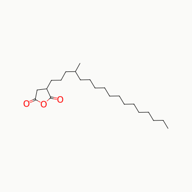 CCCCCCCCCCCCCC(C)CCCC1CC(=O)OC1=O